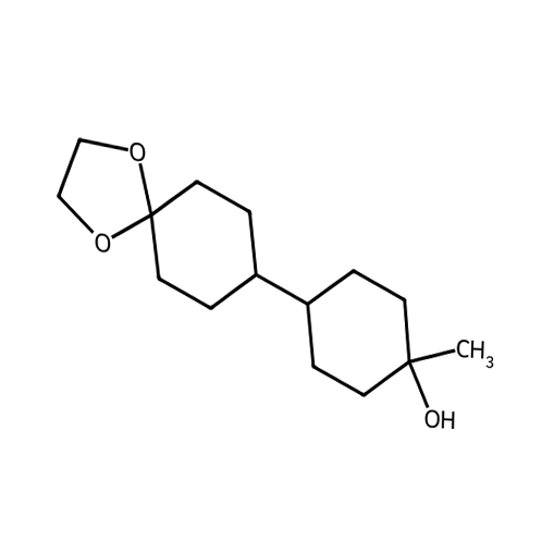 CC1(O)CCC(C2CCC3(CC2)OCCO3)CC1